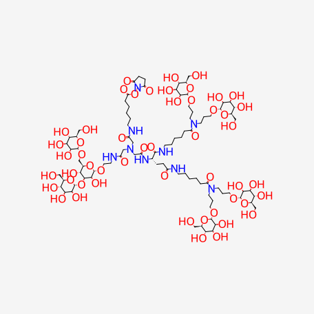 O=C(CC[C@H](NC(=O)CN(CC(=O)NCCCCCC(=O)ON1C(=O)CCC1=O)CC(=O)NCCO[C@H]1O[C@H](CO[C@H]2O[C@H](CO)[C@@H](O)[C@H](O)[C@@H]2O)[C@@H](O)[C@H](O[C@H]2O[C@H](CO)[C@@H](O)[C@H](O)[C@@H]2O)[C@@H]1O)C(=O)NCCCCCC(=O)N(CCCO[C@H]1O[C@H](CO)[C@@H](O)[C@H](O)[C@@H]1O)CCCO[C@H]1O[C@H](CO)[C@@H](O)[C@H](O)[C@@H]1O)NCCCCCC(=O)N(CCCO[C@H]1O[C@H](CO)[C@@H](O)[C@H](O)[C@@H]1O)CCCO[C@H]1O[C@H](CO)[C@@H](O)[C@H](O)[C@@H]1O